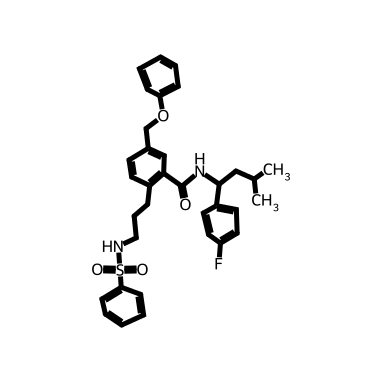 CC(C)CC(NC(=O)c1cc(COc2ccccc2)ccc1CCCNS(=O)(=O)c1ccccc1)c1ccc(F)cc1